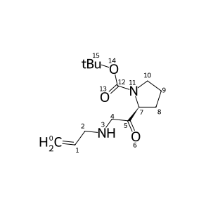 C=CCNCC(=O)[C@@H]1CCCN1C(=O)OC(C)(C)C